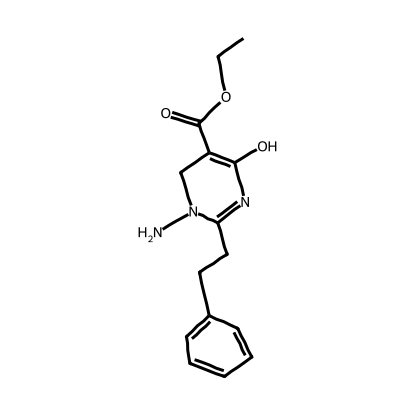 CCOC(=O)C1=C(O)N=C(CCc2ccccc2)N(N)C1